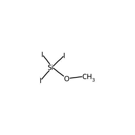 CO[Si](I)(I)I